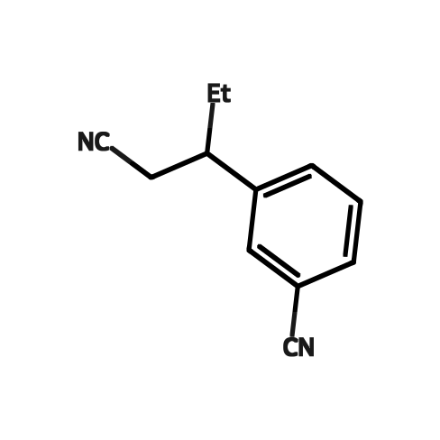 CCC(CC#N)c1cccc(C#N)c1